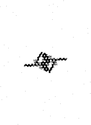 CCCCCCNc1nc(Nc2ccc(-c3ccc(Nc4nc(NCCCCCC)nc(SCCCCCC)n4)c4c3C(=O)c3ccccc3C4=O)c3c2C(=O)c2ccccc2C3=O)nc(SCCCCCC)n1